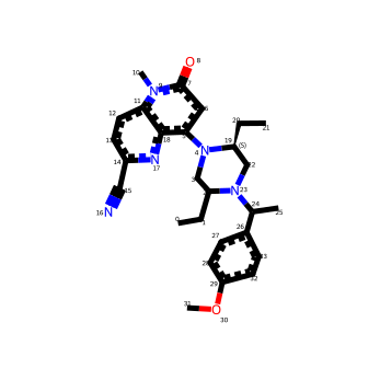 CCC1CN(c2cc(=O)n(C)c3ccc(C#N)nc23)[C@@H](CC)CN1C(C)c1ccc(OC)cc1